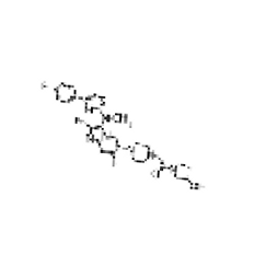 CCc1nc2cc(F)c(N3CCN(CC(=O)N4CCC(O)C4)CC3)cn2c1N(C)c1nc(-c2ccc(F)cc2)cs1